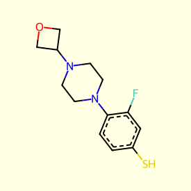 Fc1cc(S)ccc1N1CCN(C2COC2)CC1